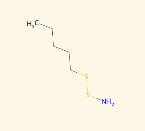 CCCCCSSN